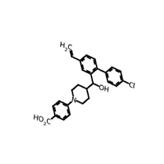 C=Cc1ccc(-c2ccc(Cl)cc2)c(C(O)C2CCN(c3ccc(C(=O)O)cc3)CC2)c1